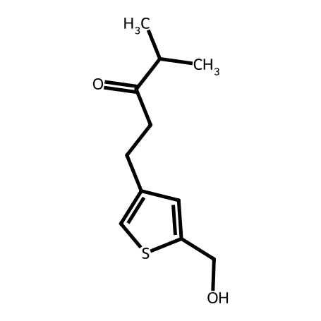 CC(C)C(=O)CCc1csc(CO)c1